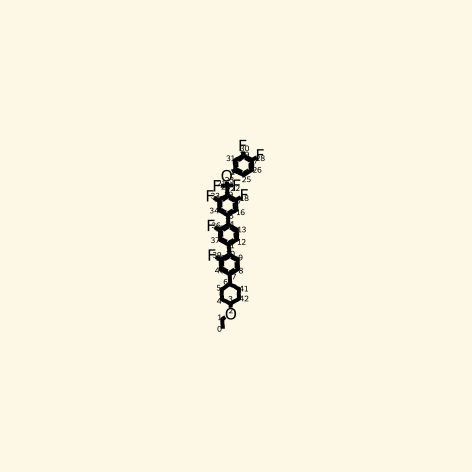 CCOC1CCC(c2ccc(-c3ccc(-c4cc(F)c(C(F)(F)Oc5ccc(F)c(F)c5)c(F)c4)c(F)c3)c(F)c2)CC1